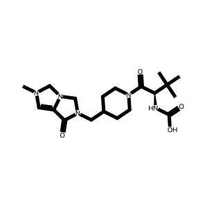 CN1C=C2C(=O)N(CC3CCN(C(=O)[C@H](NC(=O)O)C(C)(C)C)CC3)CN2C1